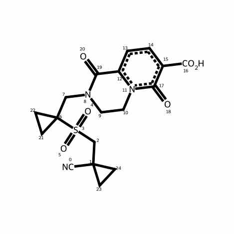 N#CC1(CS(=O)(=O)C2(CN3CCn4c(ccc(C(=O)O)c4=O)C3=O)CC2)CC1